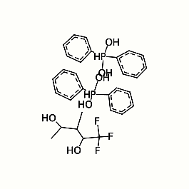 CC(O)C(C)C(O)C(F)(F)F.O[PH](O)(c1ccccc1)c1ccccc1.O[PH](O)(c1ccccc1)c1ccccc1